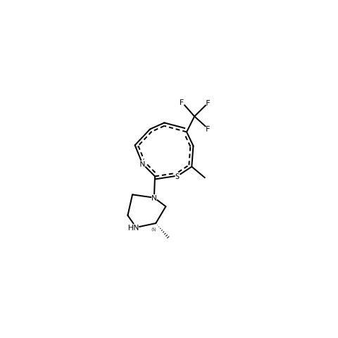 Cc1cc(C(F)(F)F)cccnc(N2CCN[C@@H](C)C2)s1